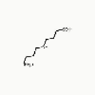 CCCCCCCCCCNCCCS(=O)(=O)O